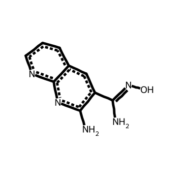 NC(=NO)c1cc2cccnc2nc1N